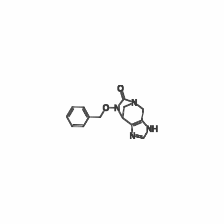 O=C1N2Cc3[nH]cnc3C(C2)N1OCc1ccccc1